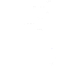 CC/C=C/CCC#CC(OC(C)C)OC(C)C